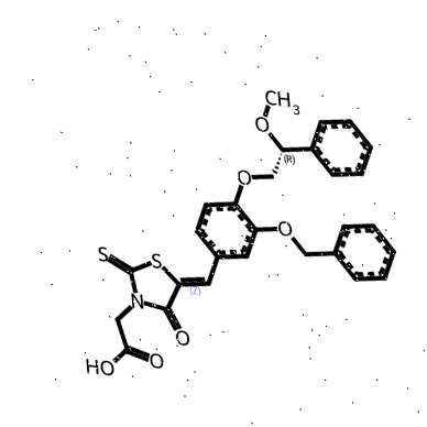 CO[C@@H](COc1ccc(/C=C2\SC(=S)N(CC(=O)O)C2=O)cc1OCc1ccccc1)c1ccccc1